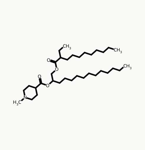 CCCCCCCCCCCCC(COC(=O)C(CC)CCCCCCCCC)OC(=O)C1CCN(C)CC1